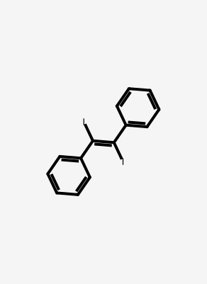 IC(=C(I)c1ccccc1)c1ccccc1